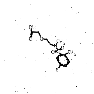 Cc1ccc(F)cc1S(=O)(=O)N(C)CCOCC(=O)O